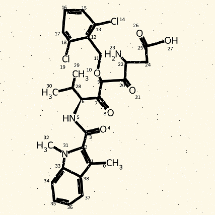 Cc1c(C(=O)N[C@H](C(=O)C(OCc2c(Cl)cccc2Cl)C(=O)C(N)CC(=O)O)C(C)C)n(C)c2ccccc12